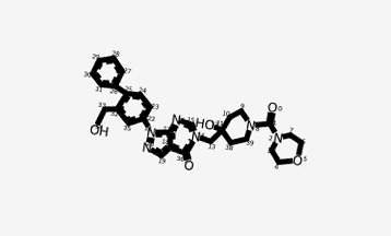 O=C(N1CCOCC1)N1CCC(O)(Cn2cnc3c(cnn3-c3ccc(-c4ccccc4)c(CO)c3)c2=O)CC1